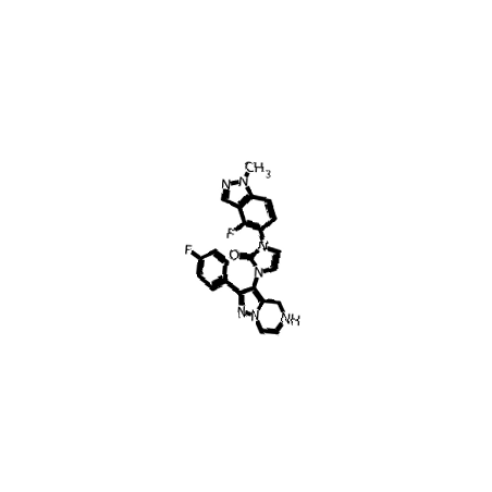 Cn1ncc2c(F)c(-n3ccn(-c4c(-c5ccc(F)cc5)nn5c4CNCC5)c3=O)ccc21